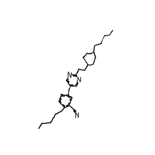 CCCCCc1ccc(-c2cnc(CCC3CCC(CCCCC)CC3)nc2)cc1C#N